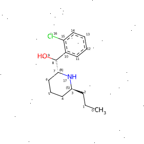 CCC[C@H]1CCC[C@H](C(O)c2ccccc2Cl)N1